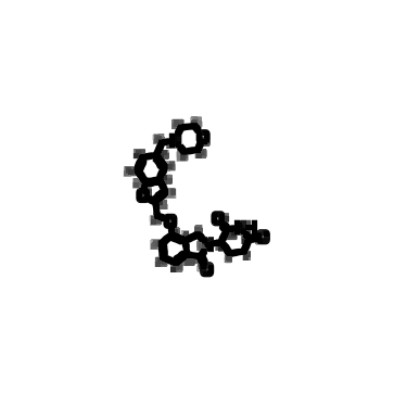 O=C1CCC(N2Cc3c(OCc4cc5cc(CN6CCOCC6)ccc5o4)cccc3C2=O)C(=O)N1